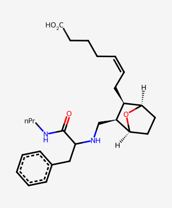 CCCNC(=O)C(Cc1ccccc1)NC[C@H]1[C@@H](C/C=C\CCCC(=O)O)[C@H]2CC[C@@H]1O2